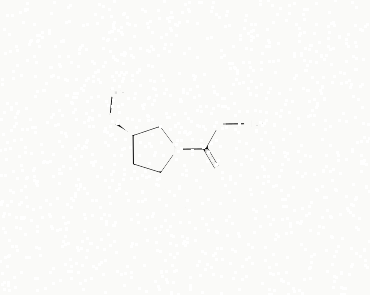 CCCCO[C@@H]1C[C@@H](C(=O)O)N(C(=O)OC(C)(C)C)C1